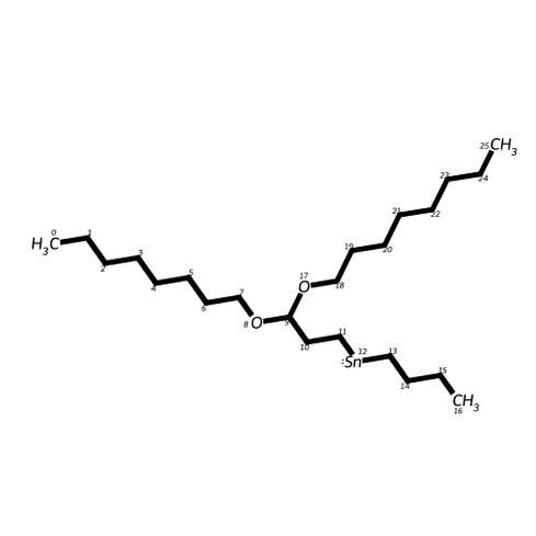 CCCCCCCCOC(C[CH2][Sn][CH2]CCC)OCCCCCCCC